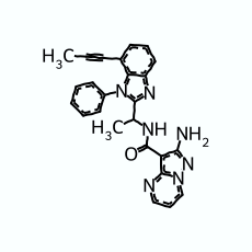 CC#Cc1cccc2nc(C(C)NC(=O)c3c(N)nn4cccnc34)n(-c3ccccc3)c12